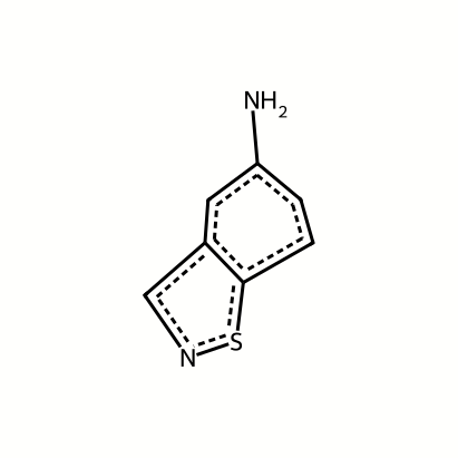 Nc1ccc2sncc2c1